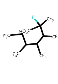 O=C(O)C(F)(C(C(C(CC(F)(F)F)C(F)(F)F)C(F)(F)F)C(F)(F)F)C(F)(F)F